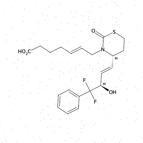 O=C(O)CCCC=CCN1C(=O)SCC[C@@H]1C=C[C@@H](O)C(F)(F)c1ccccc1